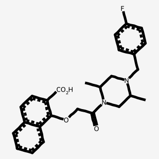 CC1CN(C(=O)COc2c(C(=O)O)ccc3ccccc23)C(C)CN1Cc1ccc(F)cc1